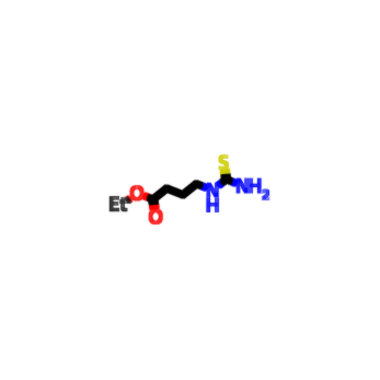 CCOC(=O)CCCNC(N)=S